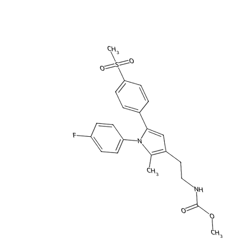 COC(=O)NCCc1cc(-c2ccc(S(C)(=O)=O)cc2)n(-c2ccc(F)cc2)c1C